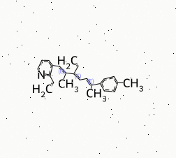 C=CC(=C\C=C(/C)c1ccc(C)cc1)/C(C)=C/c1cccnc1C=C